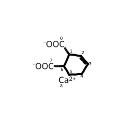 O=C([O-])C1C=CCCC1C(=O)[O-].[Ca+2]